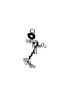 CC(C)(C)OC(=O)NCCCCCCNc1nc(Nc2ccc(Cl)cc2)ncc1[N+](=O)[O-]